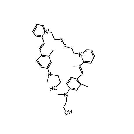 C/C(=C\c1ccc(N(C)CCO)cc1C)c1cccc[n+]1CCSSCC[n+]1ccccc1/C=C/c1ccc(N(C)CCO)cc1C